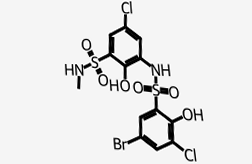 CNS(=O)(=O)c1cc(Cl)cc(NS(=O)(=O)c2cc(Br)cc(Cl)c2O)c1O